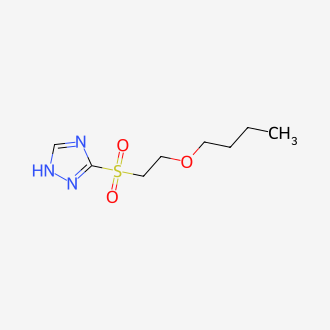 CCCCOCCS(=O)(=O)c1nc[nH]n1